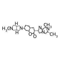 Cc1cn2cc(-c3cc4ccc(N5C[C@H]6CN(C)C[C@H]6C5)cc4oc3=O)nc2c(C)n1